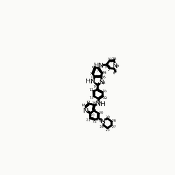 Cc1cc(Nc2ccc3[nH]c(-c4ccc(Nc5ccnc6ccc(N7CCCCC7)cc56)cc4)nc3c2)ccn1